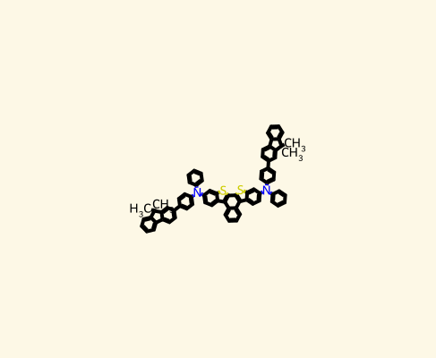 CC1(C)c2ccccc2-c2ccc(-c3ccc(N(c4ccccc4)c4ccc5c(c4)sc4c6sc7cc(N(c8ccccc8)c8ccc(-c9ccc%10c(c9)C(C)(C)c9ccccc9-%10)cc8)ccc7c6c6ccccc6c54)cc3)cc21